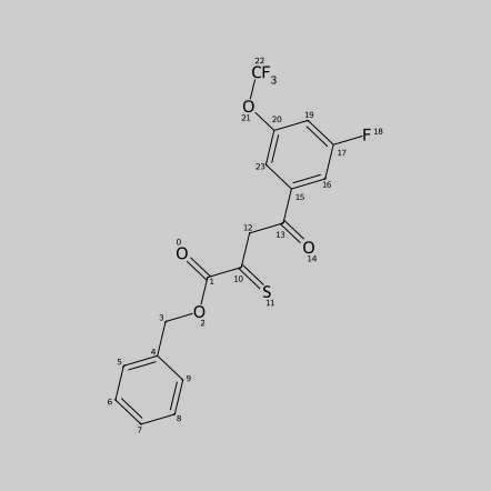 O=C(OCc1ccccc1)C(=S)CC(=O)c1cc(F)cc(OC(F)(F)F)c1